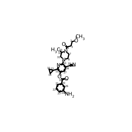 COCCC(=O)N1CCN(c2nc(C3CC3)c(OC(=O)c3cccc(N)c3)cc2C#N)CC1C